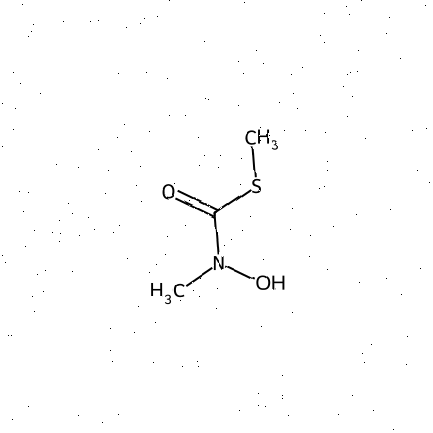 CSC(=O)N(C)O